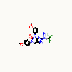 COc1ccc(N2Cc3cnc(NCC(F)(F)F)nc3N(c3cccc(OC)c3)C2=O)cc1